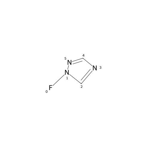 Fn1cncn1